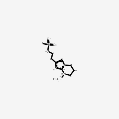 CS(=O)(=O)OCCc1cn2c(n1)N(C(=O)O)CCC2